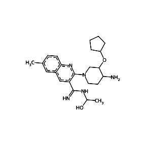 Cc1ccc2nc(N3CCC(N)C(OC4CCCC4)C3)c(C(=N)NC(C)O)cc2c1